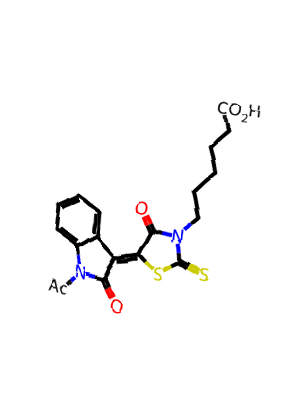 CC(=O)N1C(=O)/C(=C2\SC(=S)N(CCCCCC(=O)O)C2=O)c2ccccc21